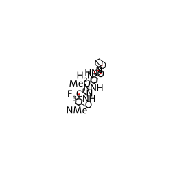 CNC(=O)c1cccc(C)c1Nc1nc(Nc2ccc(NC(=O)C34CC5CC(C3)C(N3CC[C@H](N)C3)C(C5)C4)cc2OC)ncc1C(F)(F)F